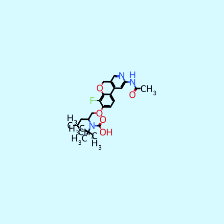 CC(=O)Nc1cc2c(cn1)COc1c-2ccc(OCC(CC(C)C)N(C(=O)O)C(C)(C)C)c1F